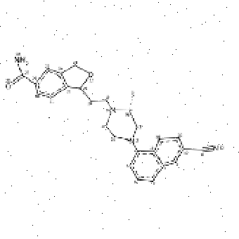 C[C@@H]1CN(c2cccc3cc(C#N)ccc23)CCN1CCC1OCc2cc(C(N)=O)ccc21